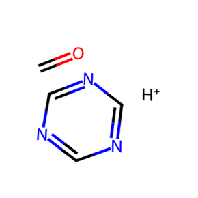 C=O.[H+].c1ncncn1